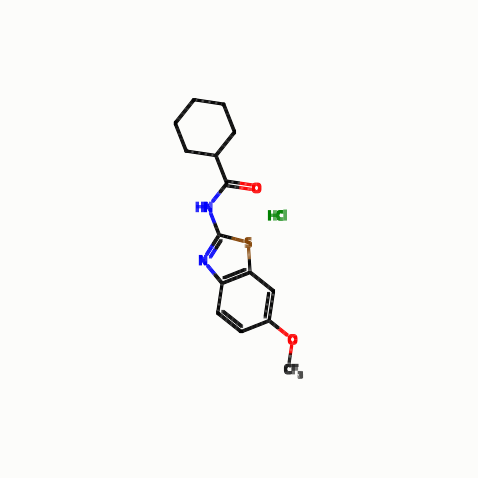 Cl.O=C(Nc1nc2ccc(OC(F)(F)F)cc2s1)C1CCCCC1